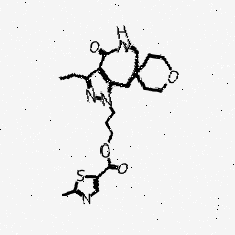 CCc1nn(CCCOC(=O)c2cnc(C)s2)c2c1C(=O)NCC1(CCOCC1)C2